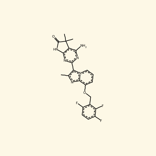 Cc1nc2c(OCc3c(F)ccc(F)c3F)cccn2c1-c1nc(N)c2c(n1)NC(=O)C2(C)C